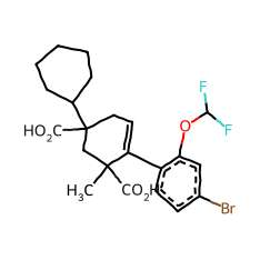 CC1(C(=O)O)CC(C(=O)O)(C2CCCCC2)CC=C1c1ccc(Br)cc1OC(F)F